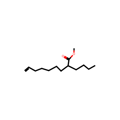 C=CCCCCCC(CCCC)C(=O)OC